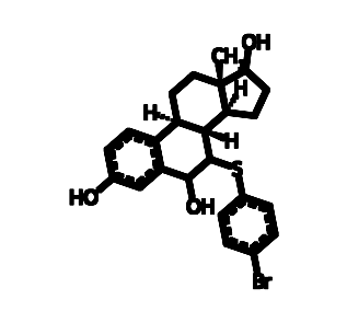 C[C@]12CC[C@@H]3c4ccc(O)cc4C(O)C(Sc4ccc(Br)cc4)[C@H]3[C@@H]1CCC2O